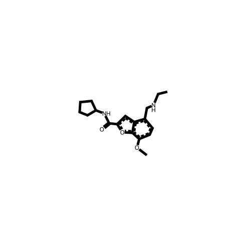 CCNCc1ccc(OC)c2oc(C(=O)NC3CCCC3)cc12